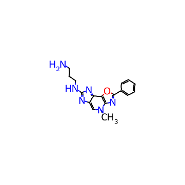 Cn1cc2nc(NCCCN)nc-2c2oc(-c3ccccc3)nc21